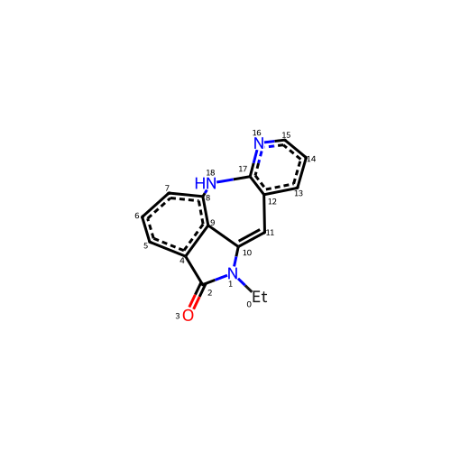 CCN1C(=O)c2cccc3c2C1=Cc1cccnc1N3